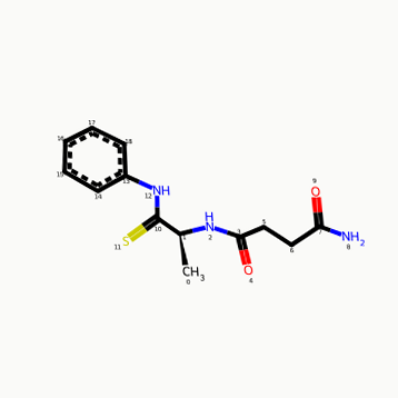 C[C@H](NC(=O)CCC(N)=O)C(=S)Nc1ccccc1